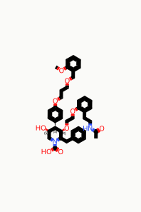 COc1ccccc1COCCCOc1ccc([C@H]2[C@H](O)CN(C(=O)O)C(Cc3ccccc3)[C@@H]2OCCOc2ccccc2CCNC(C)=O)cc1